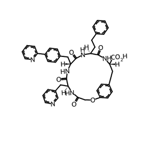 O=C1COc2ccc(cc2)C[C@@H](C(=O)O)NC(=O)[C@H](CCc2ccccc2)NC(=O)[C@@H](Cc2ccc(-c3ccccn3)cc2)NC(=O)[C@H](Cc2cccnc2)N1